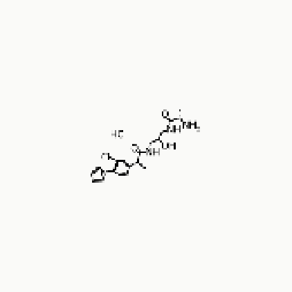 CC(C(=O)NCC(O)CNC(=O)[C@H](C)N)c1ccc(-n2cccc2)c(Cl)c1.Cl